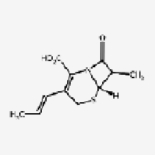 C/C=C/C1=C(C(=O)O)N2C(=O)[C@@H](C)[C@@H]2SC1